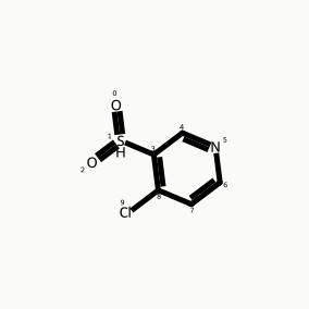 O=[SH](=O)c1cnccc1Cl